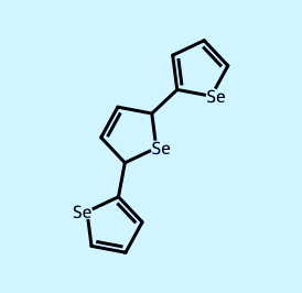 C1=CC(c2ccc[se]2)[Se]C1c1ccc[se]1